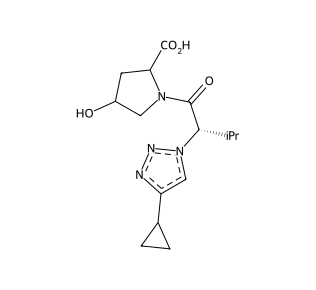 CC(C)[C@@H](C(=O)N1CC(O)CC1C(=O)O)n1cc(C2CC2)nn1